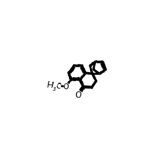 COc1cccc2c1C(=O)CCC21CC2C=CC1C2